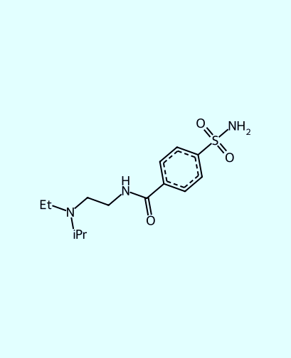 CCN(CCNC(=O)c1ccc(S(N)(=O)=O)cc1)C(C)C